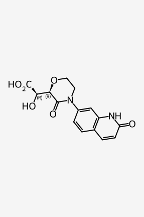 O=C(O)[C@H](O)[C@H]1OCCN(c2ccc3ccc(=O)[nH]c3c2)C1=O